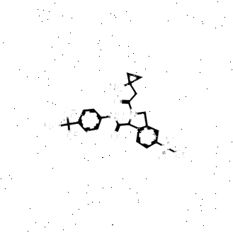 CCS(=O)(=O)c1ccc2c(c1)CN(C(=O)CC1(C#N)CC1)C2C(=O)Nc1ccc(C(O)(C(F)(F)F)C(F)(F)F)cc1